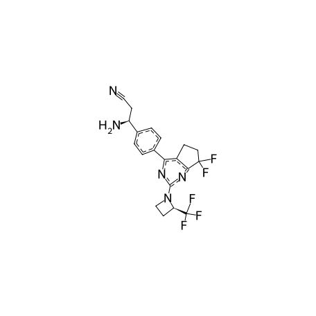 N#CC[C@H](N)c1ccc(-c2nc(N3CC[C@@H]3C(F)(F)F)nc3c2CCC3(F)F)cc1